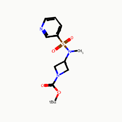 CN(C1CN(C(=O)OC(C)(C)C)C1)S(=O)(=O)c1cccnc1